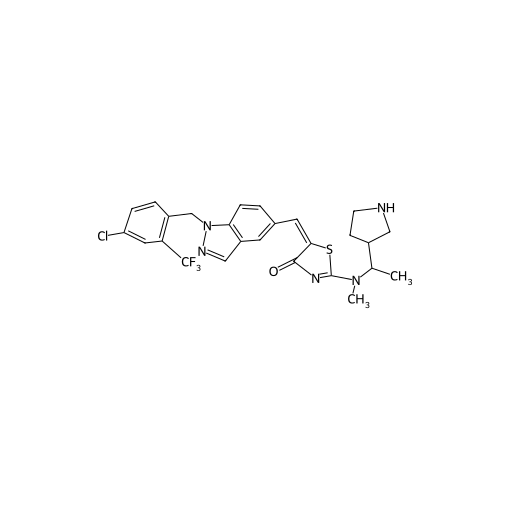 CC(C1CCNC1)N(C)C1=NC(=O)C(=Cc2ccc3c(cnn3Cc3ccc(Cl)cc3C(F)(F)F)c2)S1